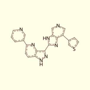 c1cncc(-c2ccc3[nH]nc(-c4nc5c(-c6ccsc6)cncc5[nH]4)c3n2)c1